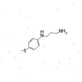 CSc1ccc(NCCCN)cc1